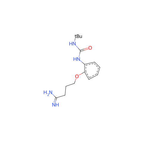 CC(C)(C)NC(=O)Nc1ccccc1OCCCC(=N)N